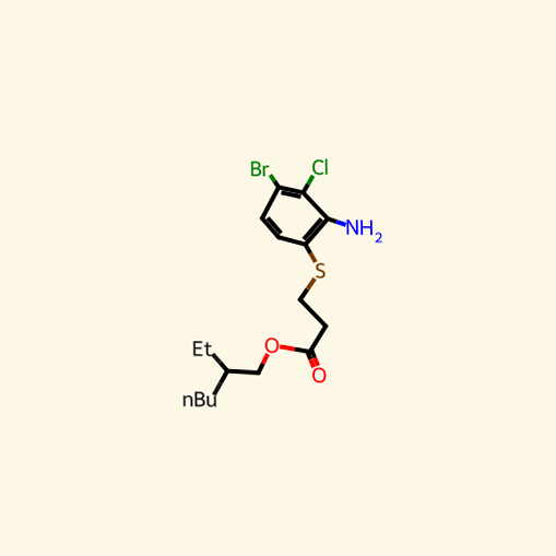 CCCCC(CC)COC(=O)CCSc1ccc(Br)c(Cl)c1N